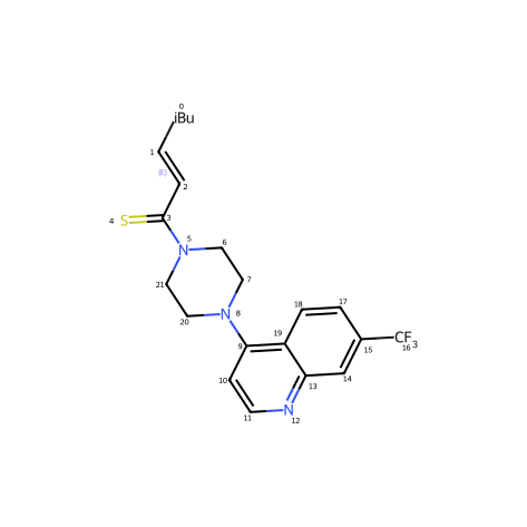 CCC(C)/C=C/C(=S)N1CCN(c2ccnc3cc(C(F)(F)F)ccc23)CC1